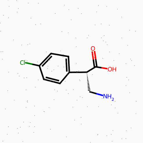 NC[C@@H](C(=O)O)c1ccc(Cl)cc1